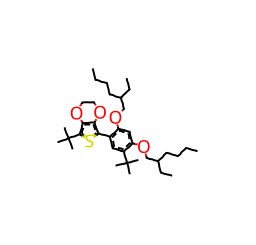 CCCCC(CC)COc1cc(OCC(CC)CCCC)c(C(C)(C)C)cc1-c1sc(C(C)(C)C)c2c1OCCO2